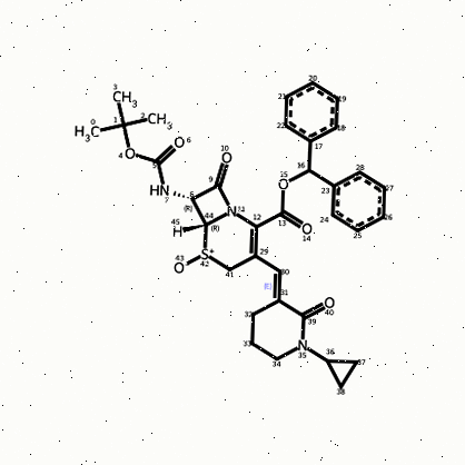 CC(C)(C)OC(=O)N[C@@H]1C(=O)N2C(C(=O)OC(c3ccccc3)c3ccccc3)=C(/C=C3\CCCN(C4CC4)C3=O)C[S+]([O-])[C@H]12